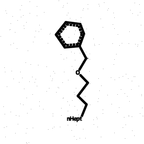 CCCCCCCCCCO[CH]c1ccccc1